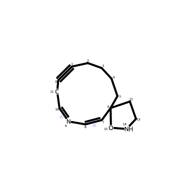 C1#CCCCCC2(/C=C\N=C/C1)CCNO2